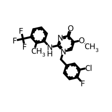 COc1cn(Cc2ccc(F)c(Cl)c2)c(Nc2cccc(C(F)(F)F)c2C)nc1=O